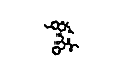 CCC(=O)N[C@@H](Cc1ccccc1)[C@H](O)CN[C@H]1C[C@@](C)(COC)Oc2ccc(CC)cc21